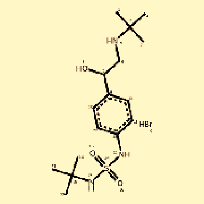 Br.CC(C)(C)NCC(O)c1ccc(NS(=O)(=O)NC(C)(C)C)cc1